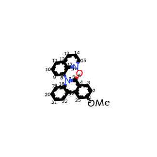 COc1ccc2c(=O)n(-c3cccc4cccnc34)c3ccccc3c2c1